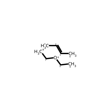 C/C=C/C.CCOCC